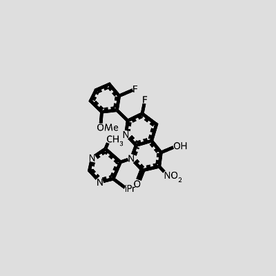 COc1cccc(F)c1-c1nc2c(cc1F)c(O)c([N+](=O)[O-])c(=O)n2-c1c(C)ncnc1C(C)C